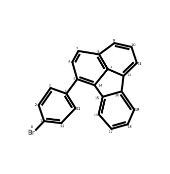 Brc1ccc(-c2ccc3cccc4c3c2-c2ccccc2-4)cc1